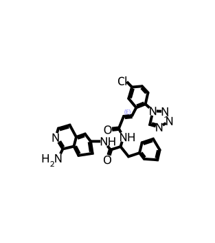 Nc1nccc2cc(NC(=O)C(Cc3ccccc3)NC(=O)/C=C/c3cc(Cl)ccc3-n3cnnn3)ccc12